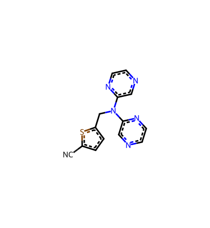 N#Cc1ccc(CN(c2cnccn2)c2cnccn2)s1